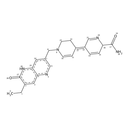 CCc1cc2ncc(CN3C=CC(=C4C=CC(C(N)=O)N=C4)CC3)cc2[nH]c1=O